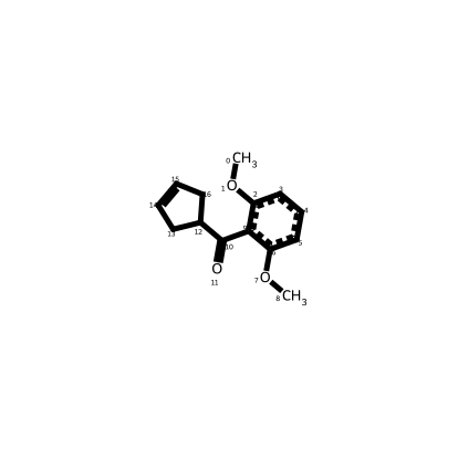 COc1cccc(OC)c1C(=O)C1CC=CC1